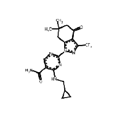 CC1(C)CC(=O)c2c(C(F)(F)F)nn(-c3ncc(C(N)=O)c(NCC4CC4)n3)c2C1